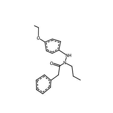 CCCN(Nc1ccc(OCC)cc1)C(=O)Cc1ccccc1